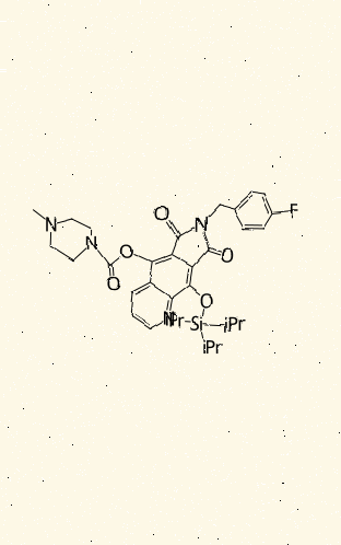 CC(C)[Si](Oc1c2c(c(OC(=O)N3CCN(C)CC3)c3cccnc13)C(=O)N(Cc1ccc(F)cc1)C2=O)(C(C)C)C(C)C